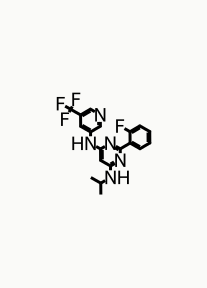 CC(C)Nc1cc(Nc2cncc(C(F)(F)F)c2)nc(-c2ccccc2F)n1